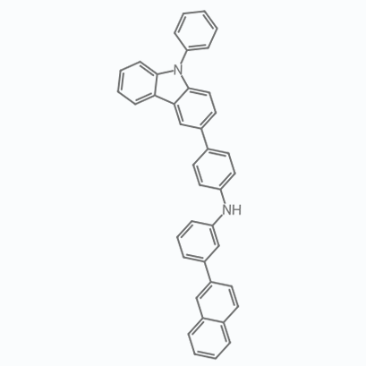 c1ccc(-n2c3ccccc3c3cc(-c4ccc(Nc5cccc(-c6ccc7ccccc7c6)c5)cc4)ccc32)cc1